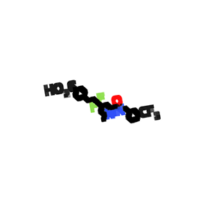 Cc1cc(C(F)(F)CCc2ccc(C(=O)O)cc2)cc(C(=O)NCc2cccc(C(F)(F)F)c2)n1